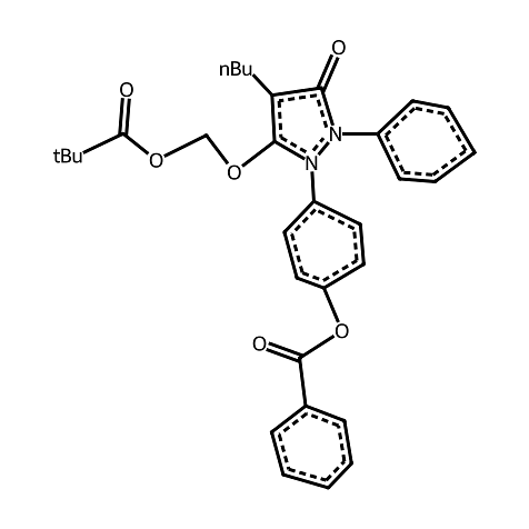 CCCCc1c(OCOC(=O)C(C)(C)C)n(-c2ccc(OC(=O)c3ccccc3)cc2)n(-c2ccccc2)c1=O